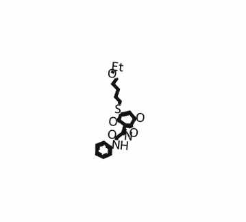 CCOCCCCCSC1=CC(=O)c2onc(C(=O)Nc3ccccc3)c2C1=O